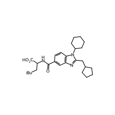 CCC(C)CC(NC(=O)c1ccc2c(c1)nc(CC1CCCC1)n2C1CCCCC1)C(=O)O